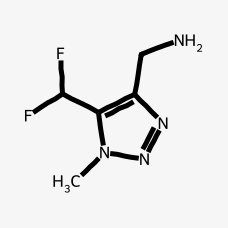 Cn1nnc(CN)c1C(F)F